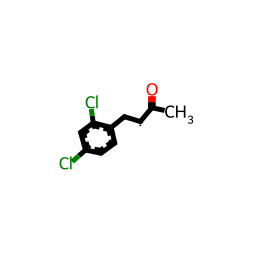 CC(=O)[CH]Cc1ccc(Cl)cc1Cl